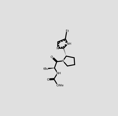 CCc1cnc([C@@H]2CCCN2C(=O)[C@@H](NC(=O)OC)C(C)(C)C)[nH]1